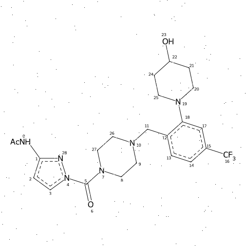 CC(=O)Nc1ccn(C(=O)N2CCN(Cc3ccc(C(F)(F)F)cc3N3CCC(O)CC3)CC2)n1